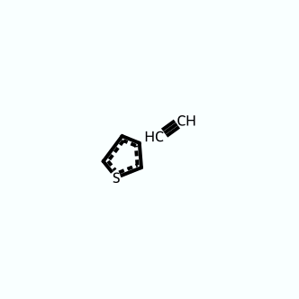 C#C.c1ccsc1